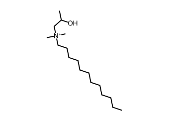 CCCCCCCCCCCC[N+](C)(C)CC(C)O